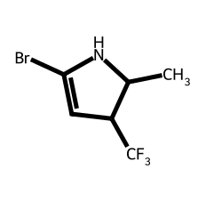 CC1NC(Br)=CC1C(F)(F)F